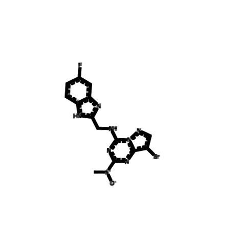 C[S+]([O-])c1nc(NCc2nc3cc(F)ccc3[nH]2)n2ncc(Br)c2n1